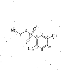 N#CCCS(=O)(=O)c1cc(Cl)ccc1Cl